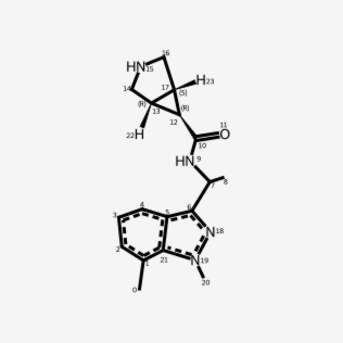 Cc1cccc2c(C(C)NC(=O)[C@H]3[C@@H]4CNC[C@@H]43)nn(C)c12